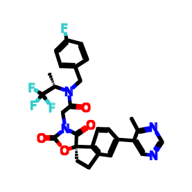 Cc1ncncc1-c1ccc2c(c1)CC[C@@]21OC(=O)N(CC(=O)N(Cc2ccc(F)cc2)[C@@H](C)C(F)(F)F)C1=O